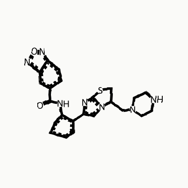 O=C(Nc1ccccc1-c1cn2c(n1)SCC2CN1CCNCC1)c1ccc2nonc2c1